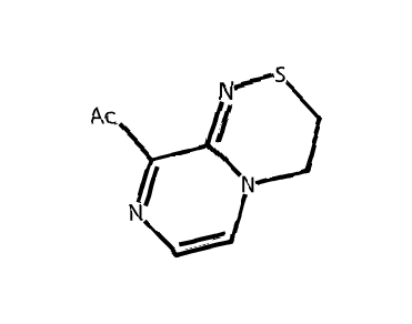 CC(=O)C1=NC=CN2CCSN=C12